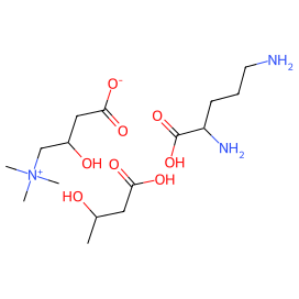 CC(O)CC(=O)O.C[N+](C)(C)CC(O)CC(=O)[O-].NCCCC(N)C(=O)O